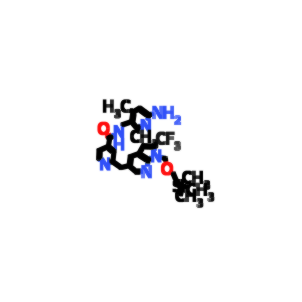 Cc1cc(N)nc(C)c1CNC(=O)c1ccnc(Cc2cnc3c(c2)cc(C(F)(F)F)n3COCC[Si](C)(C)C)c1